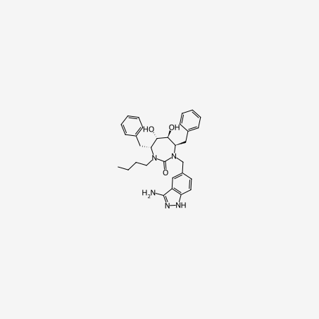 CCCCN1C(=O)N(Cc2ccc3[nH]nc(N)c3c2)[C@H](Cc2ccccc2)[C@H](O)[C@@H](O)[C@H]1Cc1ccccc1